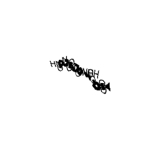 O=C1NCc2ncc(S(=O)(=O)N3CCC4(CC3)C[C@@H](NC[C@H](O)COc3cccc(S(=O)(=O)C5CC5)c3)CO4)cc21